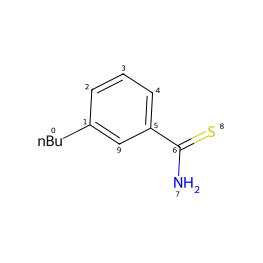 CCCCc1cccc(C(N)=S)c1